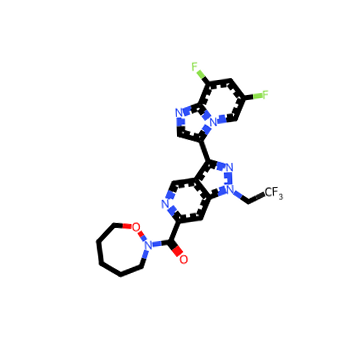 O=C(c1cc2c(cn1)c(-c1cnc3c(F)cc(F)cn13)nn2CC(F)(F)F)N1CCCCCO1